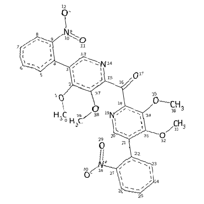 COc1c(-c2ccccc2[N+](=O)[O-])cnc(C(=O)c2ncc(-c3ccccc3[N+](=O)[O-])c(OC)c2OC)c1OC